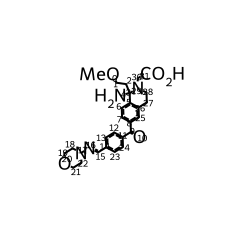 COCCC1(N)c2ccc(C(=O)c3ccc(C=NN4CCOCC4)cc3)cc2CCN1CC(=O)O